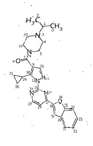 CC(C)N1CCN(C(=O)c2cnn(-c3nccc(-c4cc5ccccc5o4)n3)c2C2CC2)CC1